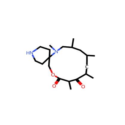 CC1CC(C)CN(C)C2(CCNCC2)COC(=O)C(C)C(=O)C(C)C1